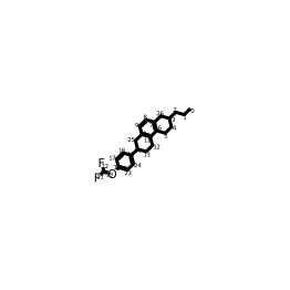 CCCC1CCc2c(ccc3c2CCC(c2ccc(OC(F)F)cc2)C3)C1